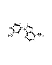 Nc1ncnc2c1cnn2-c1ccnc(O)c1